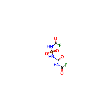 O=C(F)NC(=O)NS(=O)(=O)NC(=O)F